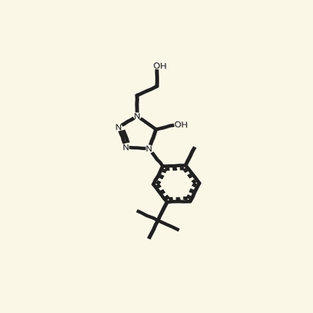 Cc1ccc(C(C)(C)C)cc1N1N=NN(CCO)C1O